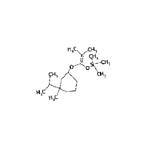 CC(C)=C(OC1CCCC(C)(C(C)C)C1)O[Si](C)(C)C